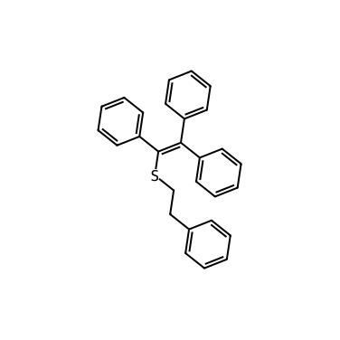 c1ccc(CCSC(=C(c2ccccc2)c2ccccc2)c2ccccc2)cc1